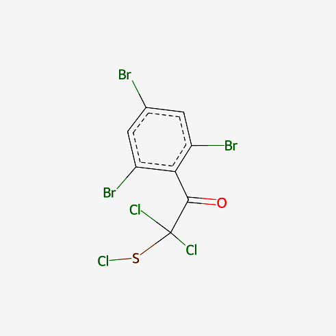 O=C(c1c(Br)cc(Br)cc1Br)C(Cl)(Cl)SCl